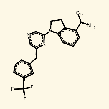 NC(O)c1cccc2c1CCN2c1cncc(Cc2cccc(C(F)(F)F)c2)n1